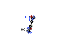 NNC(=O)c1cc(-c2ccc(C#Cc3ccc(C(=O)NC(Cc4c[nH]cn4)C(=O)O)cc3F)cc2)nc2ccncc12